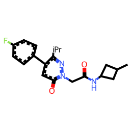 CC1CC(NC(=O)Cn2nc(C(C)C)c(-c3ccc(F)cc3)cc2=O)C1